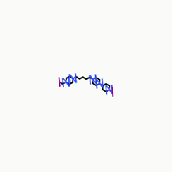 ICN1CCN(CCCCCN2CCN(C3CCN(I)CC3)CC2)CC1